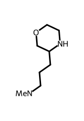 CNCCCC1COCCN1